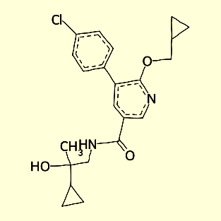 CC(O)(CNC(=O)c1cnc(OCC2CC2)c(-c2ccc(Cl)cc2)c1)C1CC1